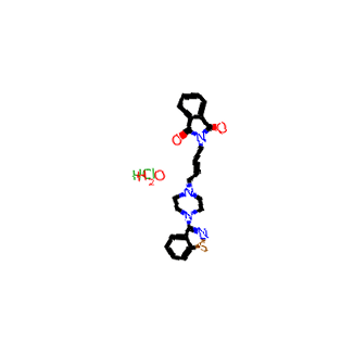 Cl.O.O=C1c2ccccc2C(=O)N1CC=CCN1CCN(c2nsc3ccccc23)CC1